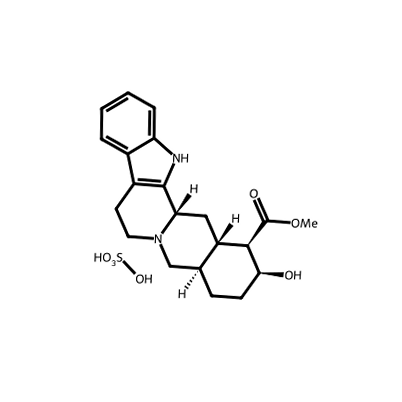 COC(=O)[C@@H]1[C@H]2C[C@H]3c4[nH]c5ccccc5c4CCN3C[C@@H]2CC[C@@H]1O.O=S(=O)(O)O